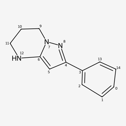 c1ccc(-c2cc3n(n2)CCCN3)cc1